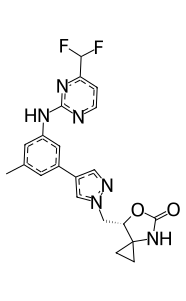 Cc1cc(Nc2nccc(C(F)F)n2)cc(-c2cnn(C[C@@H]3OC(=O)NC34CC4)c2)c1